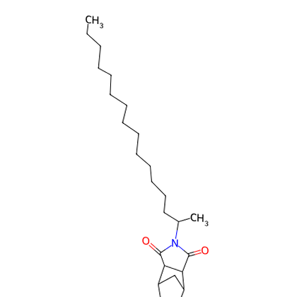 CCCCCCCCCCCCCCC(C)N1C(=O)C2C3C=CC(C3)C2C1=O